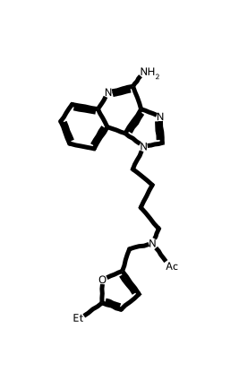 CCc1ccc(CN(CCCCn2cnc3c(N)nc4ccccc4c32)C(C)=O)o1